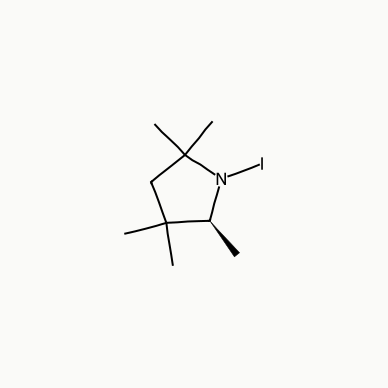 C[C@@H]1N(I)C(C)(C)CC1(C)C